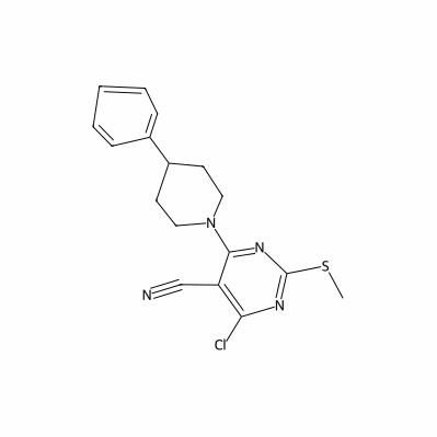 CSc1nc(Cl)c(C#N)c(N2CCC(c3ccccc3)CC2)n1